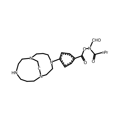 CCCC(=O)N(C=O)OC(=O)c1ccc(N2CCCN3CCNCCCN(CC3)CC2)cc1